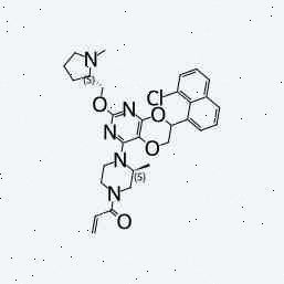 C=CC(=O)N1CCN(c2nc(OC[C@@H]3CCCN3C)nc3c2OCC(c2cccc4cccc(Cl)c24)O3)[C@@H](C)C1